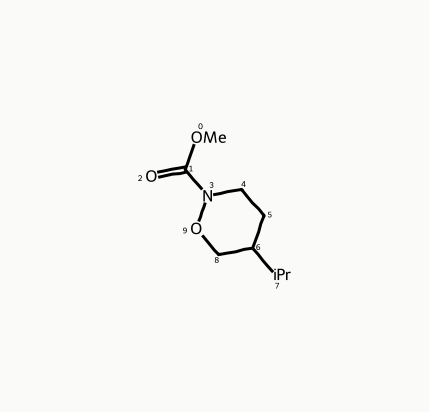 COC(=O)N1CCC(C(C)C)CO1